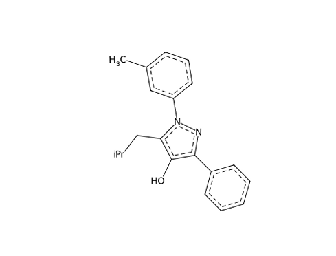 Cc1cccc(-n2nc(-c3ccccc3)c(O)c2CC(C)C)c1